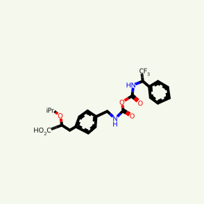 CC(C)OC(Cc1ccc(CNC(=O)OC(=O)NC(c2ccccc2)C(F)(F)F)cc1)C(=O)O